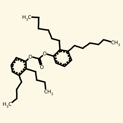 CCCCCCc1cccc(OC(=O)Oc2cccc(CCCC)c2CCCC)c1CCCCCC